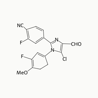 COC1=C(F)C=C(n2c(-c3ccc(C#N)c(F)c3)nc(C=O)c2Cl)CC1